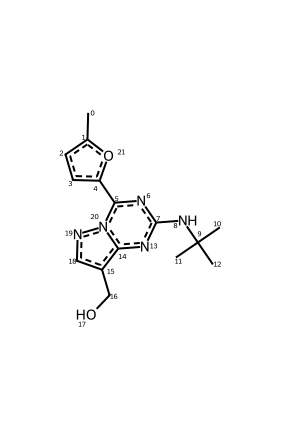 Cc1ccc(-c2nc(NC(C)(C)C)nc3c(CO)cnn23)o1